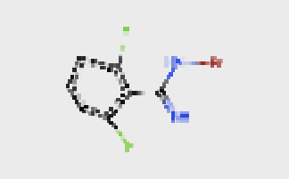 N=C(NBr)c1c(F)cccc1F